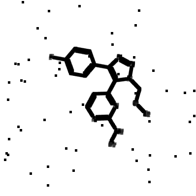 CCOCn1nnc(-c2ccc(F)cc2)c1-c1ccnc(NC(C)C)n1